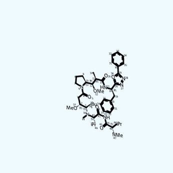 CC[C@H](C)[C@@H]([C@@H](CC(=O)N1CCC[C@H]1[C@H](OC)[C@@H](C)C(=O)N[C@H](Cc1ccccc1)c1nnc(-c2ccccc2)o1)OC)N(C)[C@H](C(=O)NC(=O)[C@@H](NC)C(C)C)C(C)C